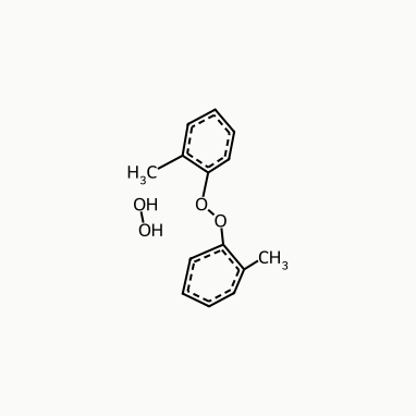 Cc1ccccc1OOc1ccccc1C.OO